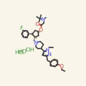 CCOc1ccc(Cc2cc(C3CCN(C[C@H]4C[C@H](OC(=O)CN(C)C(C)(C)C)C[C@@H]4c4cccc(F)c4)CC3)n(CC)n2)cc1.Cl.Cl.Cl